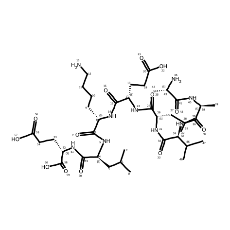 CC(C)C[C@H](NC(=O)[C@H](CCCCN)NC(=O)[C@H](CCC(=O)O)NC(=O)[C@H](CC(C)C)NC(=O)[C@@H](NC(=O)[C@H](C)NC(=O)[C@H](C)N)C(C)C)C(=O)N[C@@H](CCC(=O)O)C(=O)O